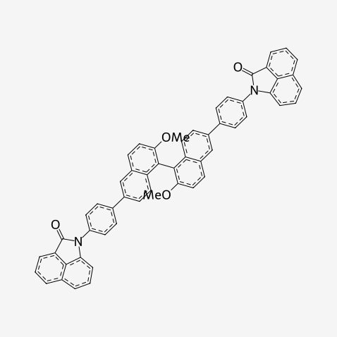 COc1ccc2cc(-c3ccc(N4C(=O)c5cccc6cccc4c56)cc3)ccc2c1-c1c(OC)ccc2cc(-c3ccc(N4C(=O)c5cccc6cccc4c56)cc3)ccc12